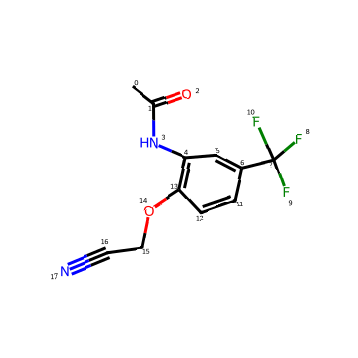 CC(=O)Nc1cc(C(F)(F)F)ccc1OCC#N